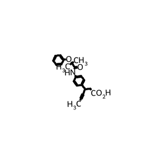 CC#CC(CC(=O)O)c1ccc(NC(=O)C(C)(C)Oc2ccccc2)cc1